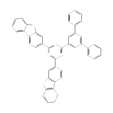 C1=Cc2oc3cc(-c4nc(-c5cc(-c6ccccc6)cc(-c6ccccc6)c5)nc(-c5ccc6c(c5)oc5ccccc56)n4)ccc3c2CC1